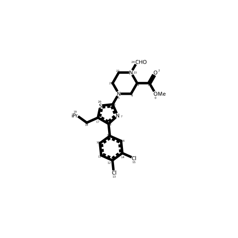 COC(=O)C1CN(c2nc(-c3ccc(Cl)c(Cl)c3)c(CC(C)C)s2)CCN1C=O